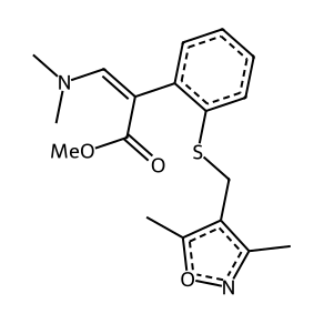 COC(=O)C(=CN(C)C)c1ccccc1SCc1c(C)noc1C